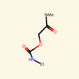 CCNC(=O)OCC(=O)NC